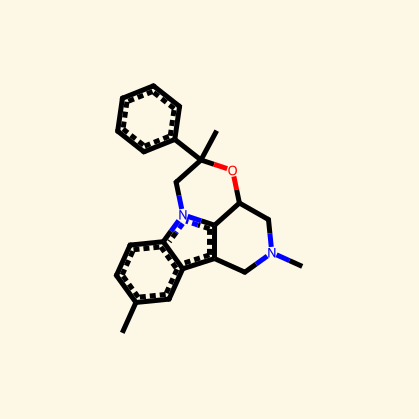 Cc1ccc2c(c1)c1c3n2CC(C)(c2ccccc2)OC3CN(C)C1